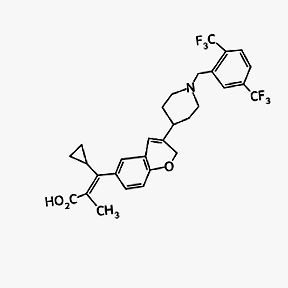 C/C(C(=O)O)=C(\c1ccc2c(c1)C=C(C1CCN(Cc3cc(C(F)(F)F)ccc3C(F)(F)F)CC1)CO2)C1CC1